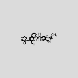 C[C@H]1CC[C@@H]1Oc1cc(NC(=O)N2CCCc3cc(CN4CCOCC4=O)c(C=O)nc32)ncc1C#N